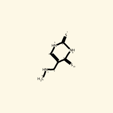 CNCc1c[nH]c(=S)[nH]c1=S